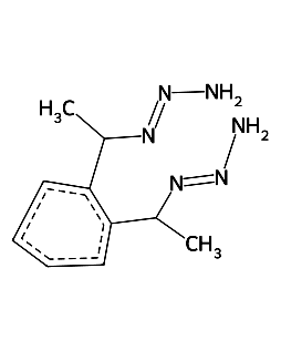 CC(N=NN)c1ccccc1C(C)N=NN